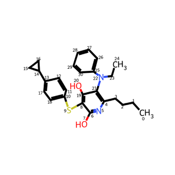 CCCCc1nc(O)c(Sc2ccc(C3CC3)cc2)c(O)c1N(CC)c1ccccc1